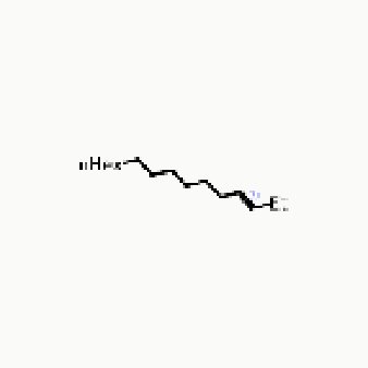 [CH2]CCCCCCCCCCC/C=C/CC